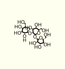 OC[C@H]1OC(OC2O[C@H](CO)[C@H](O)[C@H](O)[C@H]2OC2O[C@H](CO)[C@H](O)[C@H](O)[C@H]2O)[C@H](O)[C@@H](O)[C@H]1O